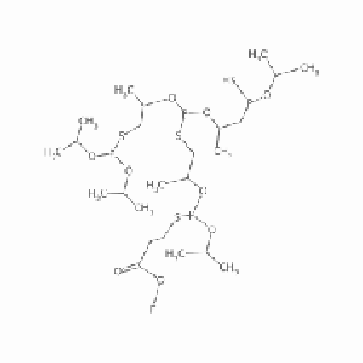 CC(C)OP(S)CC(C)OP(OC(C)CSP(OC(C)C)OC(C)C)SCC(C)OP(OC(C)C)SCCC(=O)OF